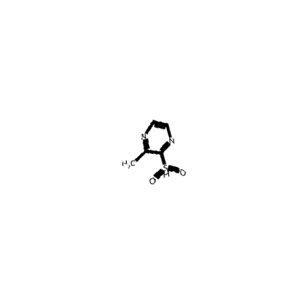 Cc1nccnc1[SH](=O)=O